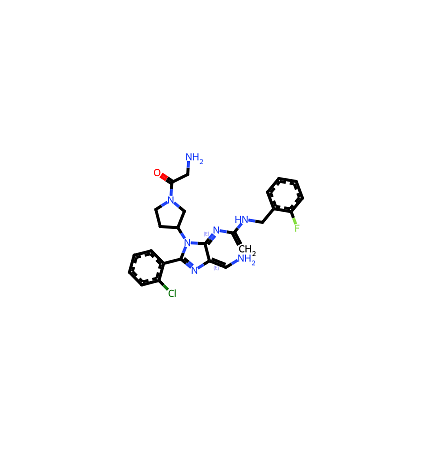 C=C(/N=C1\C(=C/N)N=C(c2ccccc2Cl)N1C1CCN(C(=O)CN)C1)NCc1ccccc1F